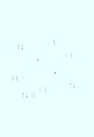 CC(C)(N)C(C)(C)N.[NaH]